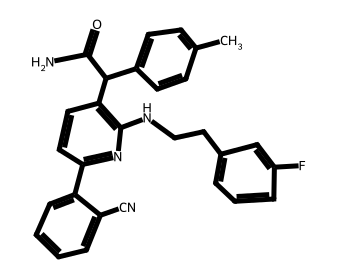 Cc1ccc(C(C(N)=O)c2ccc(-c3ccccc3C#N)nc2NCCc2cccc(F)c2)cc1